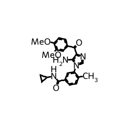 COc1ccc(C(=O)c2ncn(-c3cc(C(=O)NC4CC4)ccc3C)c2N)cc1OC